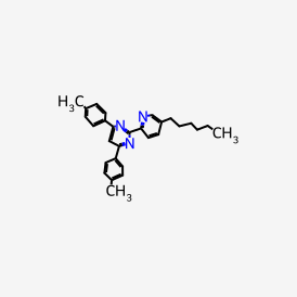 CCCCCCc1ccc(-c2nc(-c3ccc(C)cc3)cc(-c3ccc(C)cc3)n2)nc1